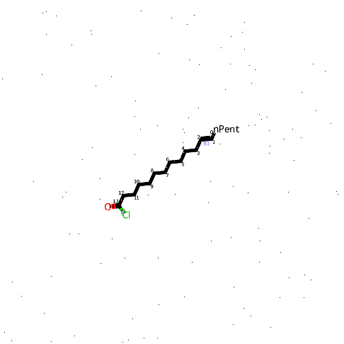 CCCCC/C=C/CCCCCCCCCCC(=O)Cl